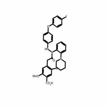 COc1cc(CC(=O)N(Nc2ccc(Oc3ccc(F)cc3)cc2)c2ccccc2N2CCCCC2)c(Br)cc1C(=O)O